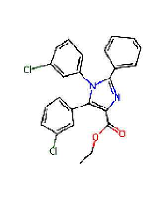 CCOC(=O)c1nc(-c2ccccc2)n(-c2cccc(Cl)c2)c1-c1cccc(Cl)c1